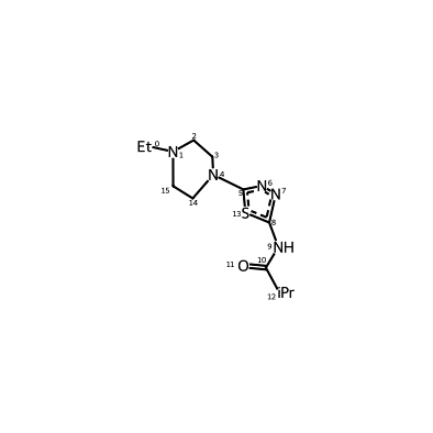 CCN1CCN(c2nnc(NC(=O)C(C)C)s2)CC1